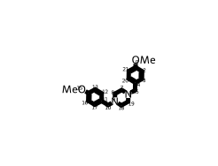 COc1ccc([CH]N2CCN(Cc3ccc(OC)cc3)CC2)cc1